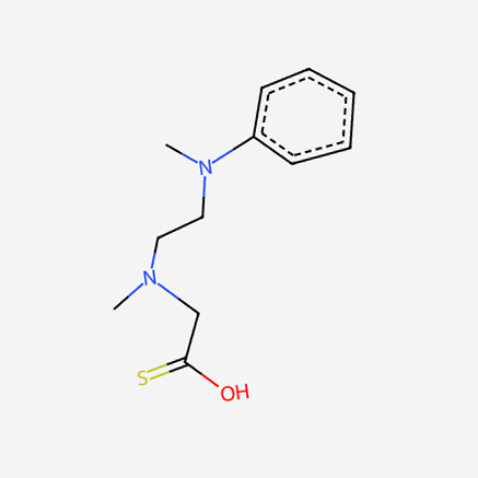 CN(CCN(C)c1ccccc1)CC(O)=S